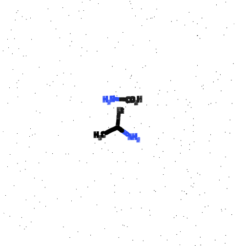 CCC(C)N.NC(=O)O